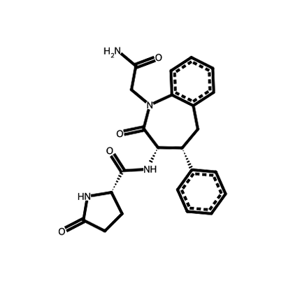 NC(=O)CN1C(=O)[C@@H](NC(=O)[C@@H]2CCC(=O)N2)[C@@H](c2ccccc2)Cc2ccccc21